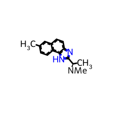 CN[C@H](C)c1nc2ccc3cc(C)ccc3c2[nH]1